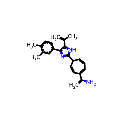 C=C(N)C1=CC=CC(c2nc(-c3ccc(C)c(C)c3)c(C(=C)C)[nH]2)C=C1